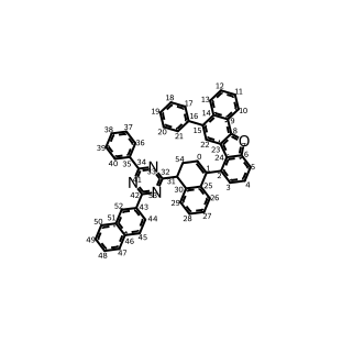 C1=C(c2cccc3oc4c5ccccc5c(-c5ccccc5)cc4c23)c2ccccc2C(c2nc(-c3ccccc3)nc(-c3ccc4ccccc4c3)n2)C1